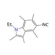 [C-]#[N+]c1c(C)c(C)c2c(c1C)c(C)c(C)n2CC